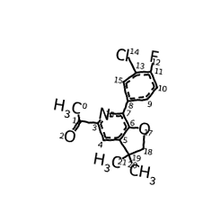 CC(=O)c1cc2c(c(-c3ccc(F)c(Cl)c3)n1)OCC2(C)C